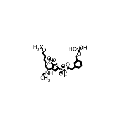 CCN[C@H]1CN(CCCOC)S(=O)(=O)c2sc(S(=O)(=O)NC(=O)Cc3cccc(CON(O)O)c3)cc21